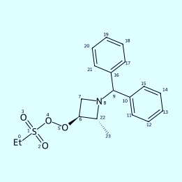 CCS(=O)(=O)OO[C@H]1CN(C(c2ccccc2)c2ccccc2)[C@@H]1C